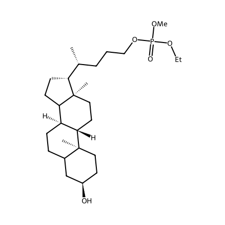 CCOP(=O)(OC)OCCC[C@@H](C)[C@H]1CCC2[C@@H]3CCC4C[C@H](O)CC[C@]4(C)[C@H]3CC[C@@]21C